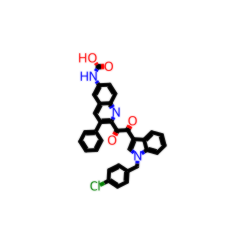 O=C(O)Nc1ccc2nc(C(=O)C(=O)c3cn(Cc4ccc(Cl)cc4)c4ccccc34)c(-c3ccccc3)cc2c1